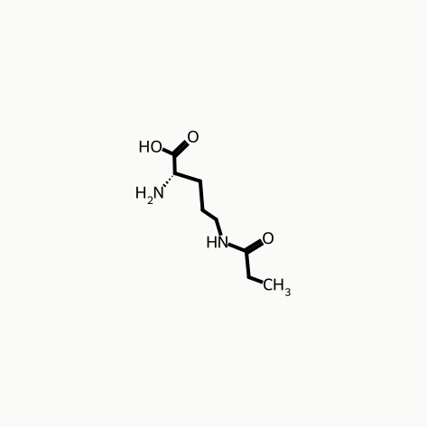 CCC(=O)NCCC[C@H](N)C(=O)O